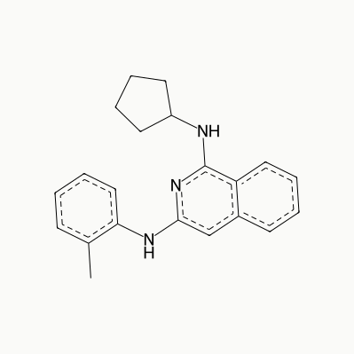 Cc1ccccc1Nc1cc2ccccc2c(NC2CCCC2)n1